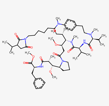 CC[C@H](C)[C@@H]([C@@H](CC(=O)N1CCC[C@H]1[C@H](OC)[C@@H](C)C(=O)N[C@@H](Cc1ccccc1)C(=O)OC)OC)N(C)C(=O)[C@@H](NC(=O)[C@H](C(C)C)N(C)CCc1ccc(N(C)C(=O)CCCCCN2C(=O)CC(C(C)C)C2=O)cc1)C(C)C